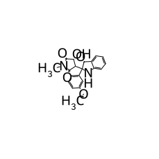 COc1cccc(C2(C3C(=O)N(C)C(=O)C3O)Nc3ccccc3C2=O)c1